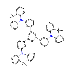 CC1(C)c2ccccc2N(c2cccc(-c3cc(-c4cccc(N5c6ccccc6C(C)(C)c6ccccc65)c4)cc(-c4cccc(N5c6ccccc6C(C)(C)c6ccccc65)c4)c3)c2)c2ccccc21